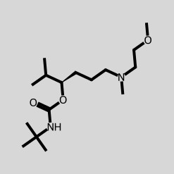 COCCN(C)CCC[C@@H](OC(=O)NC(C)(C)C)C(C)C